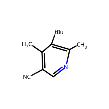 Cc1ncc(C#N)c(C)c1C(C)(C)C